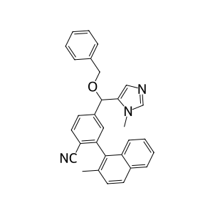 Cc1ccc2ccccc2c1-c1cc(C(OCc2ccccc2)c2cncn2C)ccc1C#N